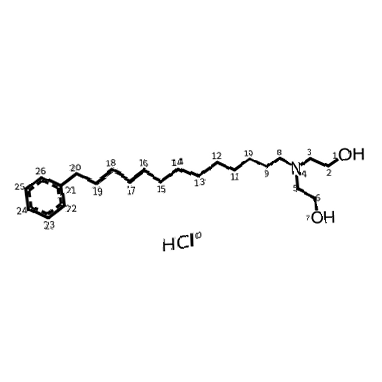 Cl.OCCN(CCO)CCCCCCCCCCCCCc1ccccc1